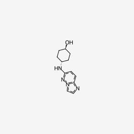 O[C@H]1CC[C@H](Nc2ccc3nccn3n2)CC1